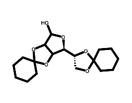 OC1O[C@@H]([C@H]2COC3(CCCCC3)O2)C2OC3(CCCCC3)OC12